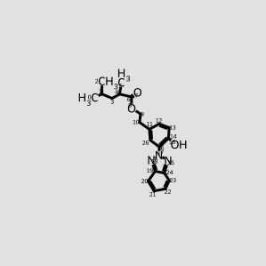 CC(C)CC(C)C(=O)OCCc1ccc(O)c(-n2nc3ccccc3n2)c1